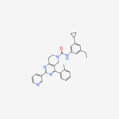 CCc1cc(NC(=O)N2CCc3nc(-c4cccnc4)nc(-c4ccccc4C)c3C2)cc(C2CC2)c1